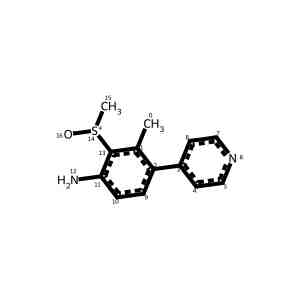 Cc1c(-c2ccncc2)ccc(N)c1[S+](C)[O-]